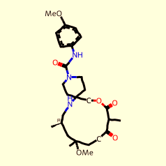 COc1ccc(NC(=O)N2CCC3(CC2)COC(=O)C(C)C(=O)CCC(C)(OC)C[C@@H](C)CN3)cc1